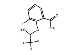 CC(Oc1c(F)cccc1C(N)=O)C(F)(F)F